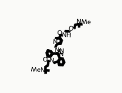 CNC(C)(C)CCOCCNC(=O)c1ccc(Cn2nnc3c2-c2ccccc2N(C(=O)CCC(C)(C)NC)Cc2ccccc2-3)nc1